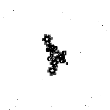 Cc1nc(Cl)c(C=CC(=O)NS(=O)(=O)C=Cc2ccccc2)n1Cc1ccc(-c2ccccc2)cc1Cl